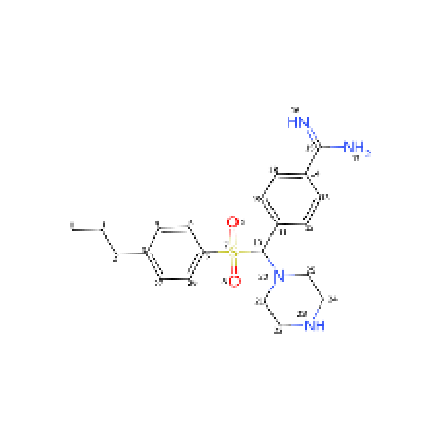 CCCc1ccc(S(=O)(=O)C(c2ccc(C(=N)N)cc2)N2CCNCC2)cc1